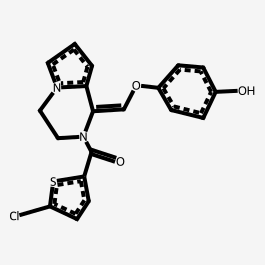 O=C(c1ccc(Cl)s1)N1CCn2cccc2/C1=C\Oc1ccc(O)cc1